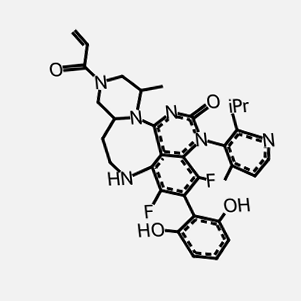 C=CC(=O)N1CC(C)N2c3nc(=O)n(-c4c(C)ccnc4C(C)C)c4c(F)c(-c5c(O)cccc5O)c(F)c(c34)NCCC2C1